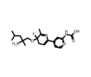 CC1=NC(c2ccnc(NC(=O)O)c2)=CCC1(F)OCC(C)(N)CC(C)C